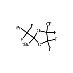 CC(C)C(F)(F)C1(C(C)(C)C)OC(F)(F)C(F)(C(F)(F)F)O1